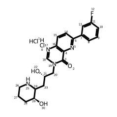 Cl.Cl.O=c1c2nc(-c3cccc(F)c3)ccc2ncn1C[C@@H](O)CC1NCCC[C@@H]1O